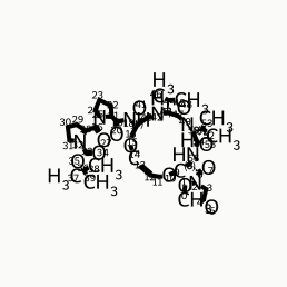 CON(CC=O)C(=O)[C@@H]1COCC=CCOC[C@H](NC(=O)C2CCCN2C(=O)C2CCCN2C(=O)OC(C)(C)C)C(=O)N[C@@H](C(C)C)C(=O)N[C@@H](C(C)C)C(=O)N1